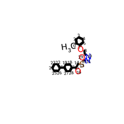 Cc1ccccc1OCc1nnc(SCC(=O)c2ccc(-c3ccccc3)cc2)o1